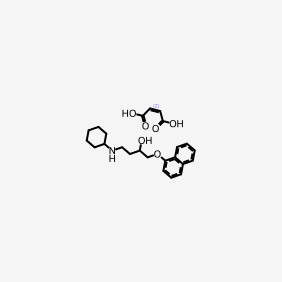 O=C(O)/C=C\C(=O)O.OC(CCNC1CCCCC1)COc1cccc2ccccc12